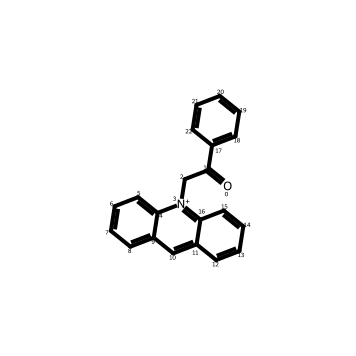 O=C(C[n+]1c2ccccc2cc2ccccc21)c1ccccc1